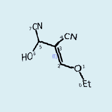 CCO/C=C(\C#N)C(O)C#N